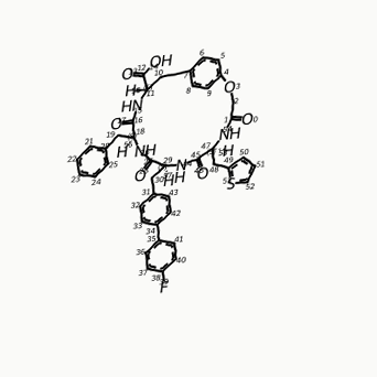 O=C1COc2ccc(cc2)C[C@@H](C(=O)O)NC(=O)[C@H](Cc2ccccc2)NC(=O)[C@H](Cc2ccc(-c3ccc(F)cc3)cc2)NC(=O)[C@H](Cc2cccs2)N1